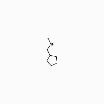 [CH2]NCC1CCCC1